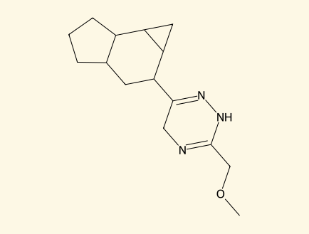 COCC1=NCC(C2CC3CCCC3C3CC23)=NN1